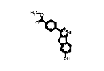 COC(=O)c1ccc(-c2n[nH]c3c2Cc2cc(O)ccc2-3)cc1